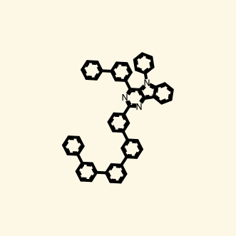 c1ccc(-c2cccc(-c3cccc(-c4cccc(-c5cccc(-c6nc(-c7cccc(-c8ccccc8)c7)c7c(n6)c6ccccc6n7-c6ccccc6)c5)c4)c3)c2)cc1